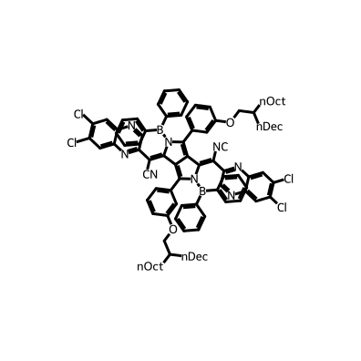 [C-]#[N+]/C(c1cnc2cc(Cl)c(Cl)cc2n1)=c1\c2c(-c3cccc(OCC(CCCCCCCC)CCCCCCCCCC)c3)n(B(c3ccccc3)c3ccccc3)/c(=C(/C#N)c3cnc4cc(Cl)c(Cl)cc4n3)c2c(-c2cccc(OCC(CCCCCCCC)CCCCCCCCCC)c2)n1B(c1ccccc1)c1ccccc1